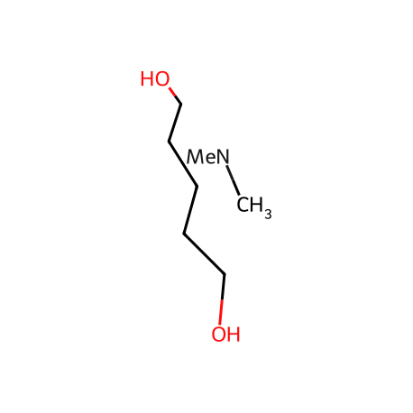 CNC.OCCCCCO